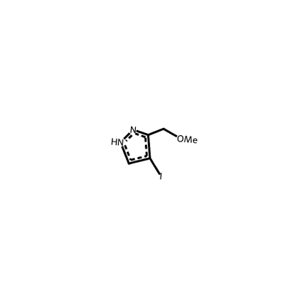 COCc1n[nH]cc1I